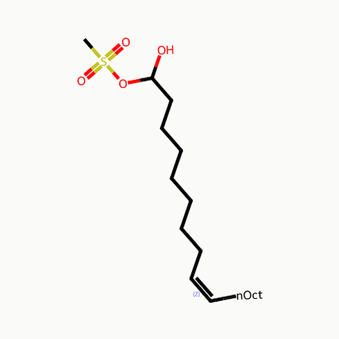 CCCCCCCC/C=C\CCCCCCCC(O)OS(C)(=O)=O